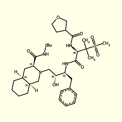 CC(C)(C)NC(=O)[C@@H]1C[C@@H]2CCCC[C@@H]2CN1C[C@@H](O)[C@H](Cc1ccccc1)NC(=O)[C@@H](NC(=O)C1CCOC1)C(C)(C)S(C)(=O)=O